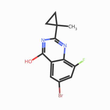 CC1(c2nc(O)c3cc(Br)cc(F)c3n2)CC1